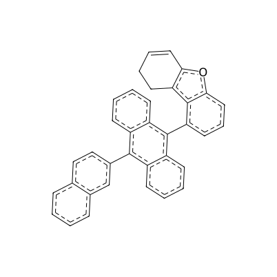 C1=Cc2oc3cccc(-c4c5ccccc5c(-c5ccc6ccccc6c5)c5ccccc45)c3c2CC1